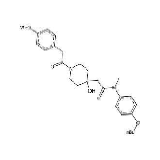 CCCCOc1ccc(N(C)C(=O)CC2(O)CCN(C(=O)Cc3ccc(OC)cc3)CC2)cc1